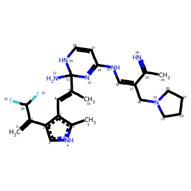 C=C(c1c[nH]c(C)c1/C=C(\C)C1(N)N=C(N/C=C(/CN2CCCC2)C(C)=N)C=CN1)C(F)F